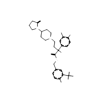 CC(CCN1CCC(N2CCCC2=O)CC1)(C(=O)NCc1ccc(F)c(C(F)(F)F)c1)c1ccc(Cl)c(Cl)c1